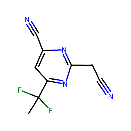 CC(F)(F)c1cc(C#N)nc(CC#N)n1